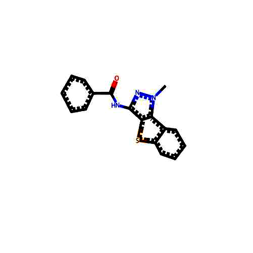 Cn1nc(NC(=O)c2ccccc2)c2sc3ccccc3c21